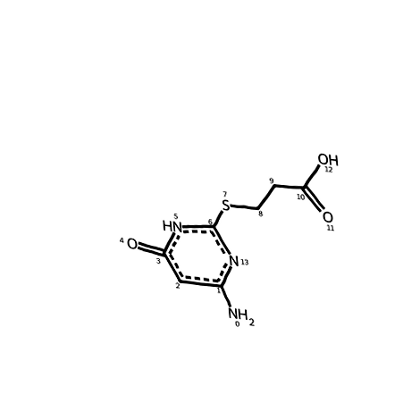 Nc1cc(=O)[nH]c(SCCC(=O)O)n1